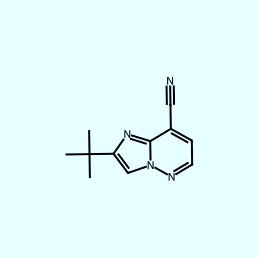 CC(C)(C)c1cn2nccc(C#N)c2n1